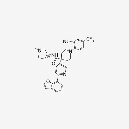 CN1CC[C@@H](NC(=O)C2(c3ccc(-c4cccc5ccoc45)nc3)CCN(c3ccc(C(F)(F)F)cc3C#N)CC2)C1